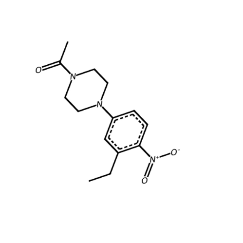 CCc1cc(N2CCN(C(C)=O)CC2)ccc1[N+](=O)[O-]